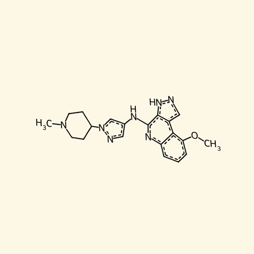 COc1cccc2nc(Nc3cnn(C4CCN(C)CC4)c3)c3[nH]ncc3c12